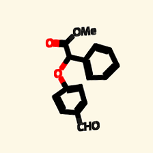 COC(=O)C(Oc1ccc(C=O)cc1)c1ccccc1